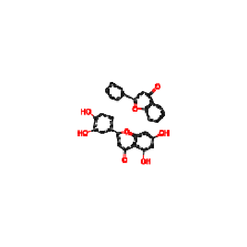 O=c1cc(-c2ccc(O)c(O)c2)oc2cc(O)cc(O)c12.O=c1cc(-c2ccccc2)oc2ccccc12